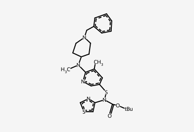 Cc1cc(SN(C(=O)OC(C)(C)C)c2cscn2)cnc1N(C)C1CCN(Cc2ccccc2)CC1